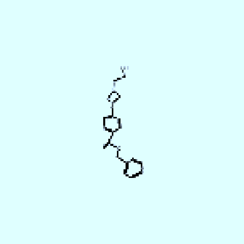 O=C(OCc1ccccc1)c1ccc(N2CC(CCO)C2)cc1